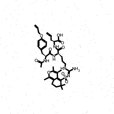 C=CCOc1ccc(C[C@H](NC(C)=O)C(=O)N[C@H](CCCNC(N)=NS(=O)(=O)C2=C3C(C)=C(C)OC(C)=C3CCC2(C)C)C(=O)N[C@@H](CC=C)C(=O)O)cc1